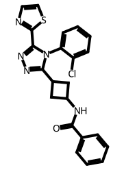 O=C(NC1CC(c2nnc(-c3nccs3)n2-c2ccccc2Cl)C1)c1ccccc1